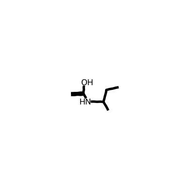 C=C(O)NC(C)CC